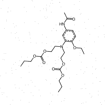 CCCOC(=O)OCCN(CCOC(=O)OCCC)c1cc(NC(C)=O)ccc1OCC